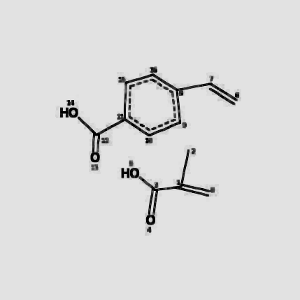 C=C(C)C(=O)O.C=Cc1ccc(C(=O)O)cc1